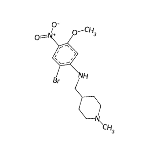 COc1cc(NCC2CCN(C)CC2)c(Br)cc1[N+](=O)[O-]